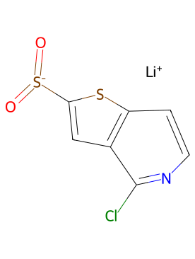 O=[S-](=O)c1cc2c(Cl)nccc2s1.[Li+]